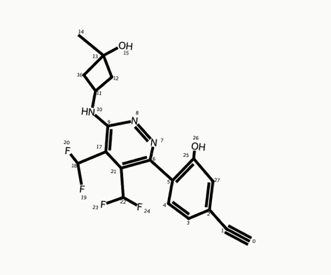 C#Cc1ccc(-c2nnc(NC3CC(C)(O)C3)c(C(F)F)c2C(F)F)c(O)c1